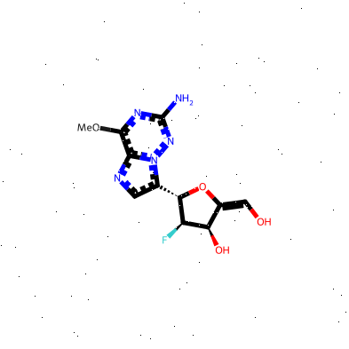 COc1nc(N)nn2c([C@@H]3O/C(=C/O)[C@@H](O)[C@H]3F)cnc12